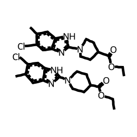 CCOC(=O)C1CCN(c2nc3cc(C)c(Cl)cc3[nH]2)CC1.CCOC(=O)C1CCN(c2nc3cc(Cl)c(C)cc3[nH]2)CC1